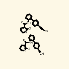 C#Cc1ccc(-c2ccccc2NC(=O)c2cccnc2Cl)cc1.CC(C)(C)C#Cc1ccc(-c2ccccc2NC(=O)c2cccnc2Cl)cc1